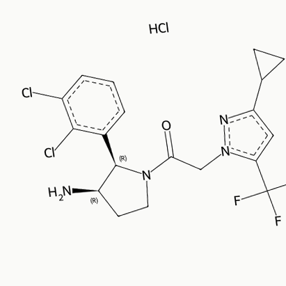 Cl.N[C@@H]1CCN(C(=O)Cn2nc(C3CC3)cc2C(F)(F)F)[C@@H]1c1cccc(Cl)c1Cl